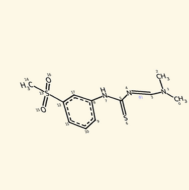 CN(C)/C=N/C(=S)Nc1cccc(S(C)(=O)=O)c1